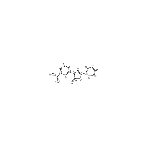 O=C(O)c1cccc(N2N=C(c3ccccc3)CC2=O)c1